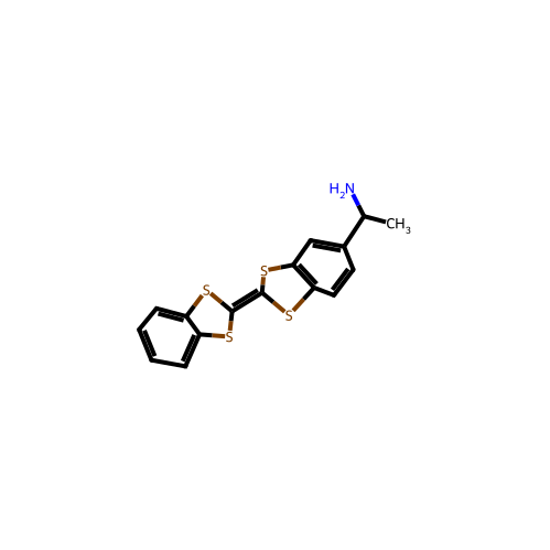 CC(N)c1ccc2c(c1)SC(=C1Sc3ccccc3S1)S2